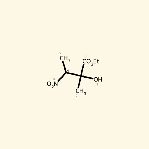 CCOC(=O)C(C)(O)C(C)[N+](=O)[O-]